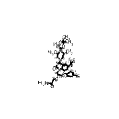 C[C@@H]1CN(c2nc(=O)n3c4c(cc(C(F)(F)F)cc24)[SH](c2ccc(F)cc2)C[C@@H](OCC(N)=O)C3)C[C@H](C)N1C(=O)OC(C)(C)C